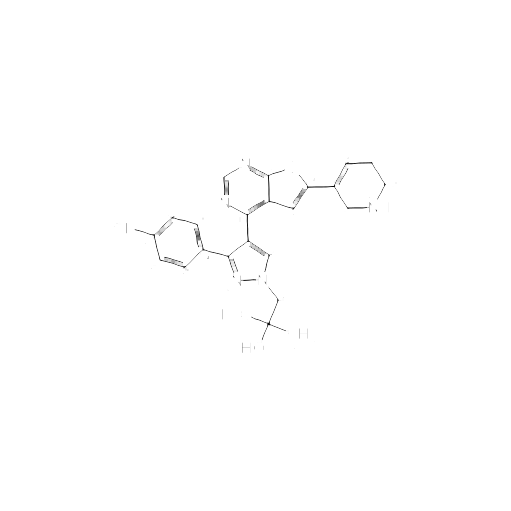 CC(C)(O)Cn1cc(-c2ncnc3oc(C4=CCCNC4)cc23)c(-c2ccc(F)cc2)n1